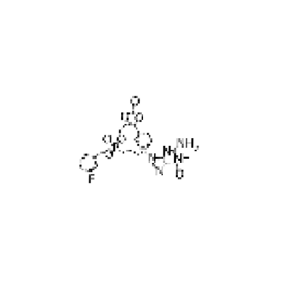 Nc1nc2c(ncn2CCCCP(=O)(OCc2cccc(F)c2)OCc2oc(=O)oc2-c2ccccc2)c(=O)[nH]1